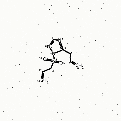 C=CCc1n[c]nn1S(=O)(=O)CC=C